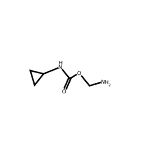 NCOC(=O)NC1CC1